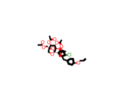 C=CCOc1ccc(Cc2cc([C@]34OC[C@](COC(C)=O)(O3)[C@@H](OC(C)=O)[C@H](OC(C)=O)[C@H]4OC(C)=O)ccc2Cl)cc1